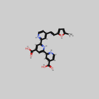 Cc1ccc(/C=C/c2ccnc(-c3cc(C(=O)O)cc(-c4cc(C(=O)O)ccn4)n3)c2)o1